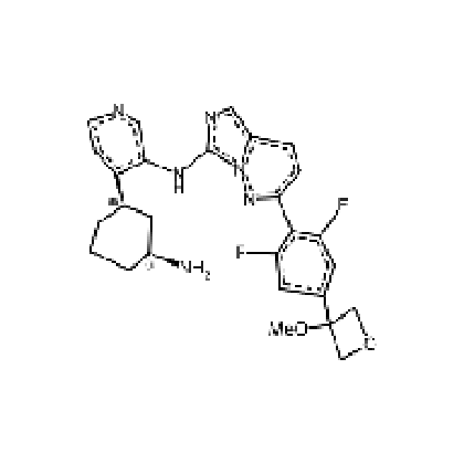 COC1(c2cc(F)c(-c3ccc4cnc(Nc5cnccc5[C@@H]5CCC[C@H](N)C5)n4n3)c(F)c2)COC1